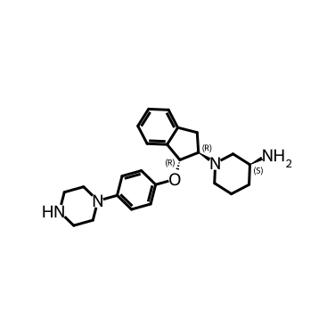 N[C@H]1CCCN([C@@H]2Cc3ccccc3[C@H]2Oc2ccc(N3CCNCC3)cc2)C1